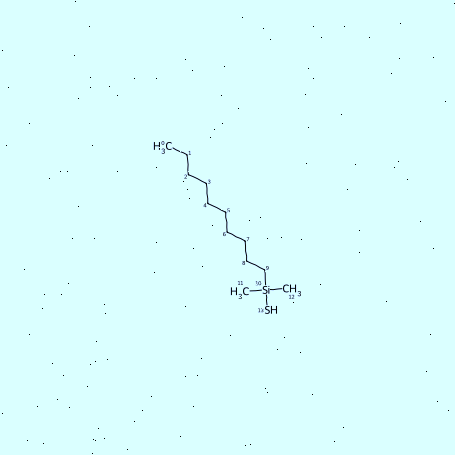 CCCCCCCCCC[Si](C)(C)S